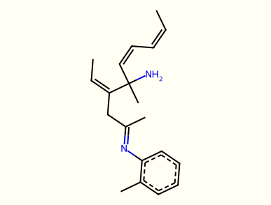 C/C=C\C=C/C(C)(N)/C(=C\C)C/C(C)=N/c1ccccc1C